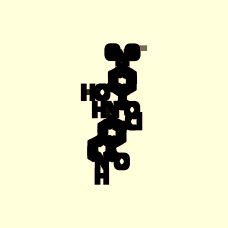 O=C(Nc1cc2cc[nH]c(=O)c2cc1Cl)c1ccc([N+](=O)[O-])cc1O